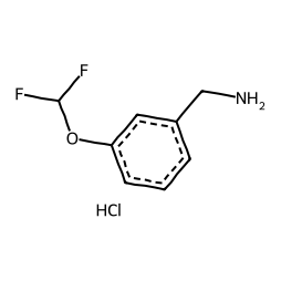 Cl.NCc1cccc(OC(F)F)c1